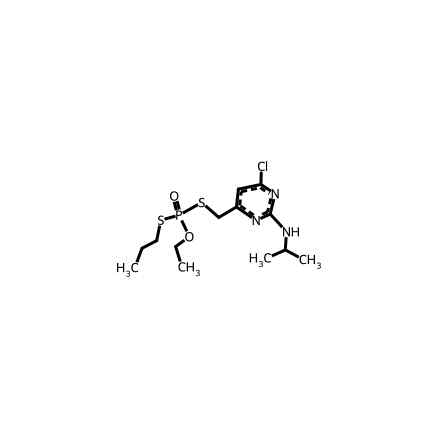 CCCSP(=O)(OCC)SCc1cc(Cl)nc(NC(C)C)n1